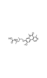 COc1cc2c3ccnc(C)c3c(=O)n(C)c2cc1OCC(C)CC(C)NC(=O)O